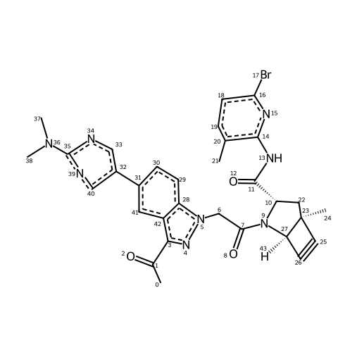 CC(=O)c1nn(CC(=O)N2[C@H](C(=O)Nc3nc(Br)ccc3C)C[C@@]3(C)C#C[C@@H]23)c2ccc(-c3cnc(N(C)C)nc3)cc12